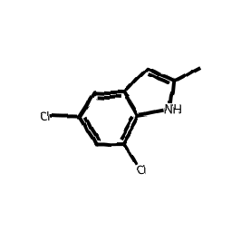 Cc1cc2cc(Cl)cc(Cl)c2[nH]1